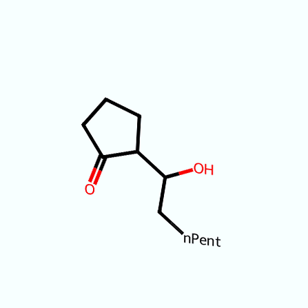 CCCCCCC(O)C1CCCC1=O